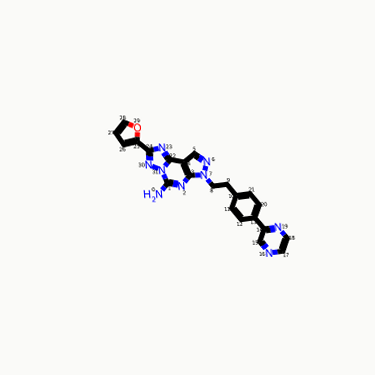 Nc1nc2c(cnn2CCc2ccc(-c3cnccn3)cc2)c2nc(-c3ccco3)nn12